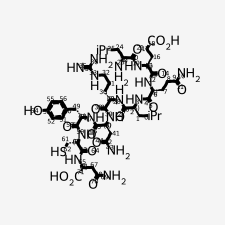 CC(C)C[C@H](NC(=O)[C@H](CCC(N)=O)NC(=O)[C@H](CCC(=O)O)NC(=O)[C@@H](N)CC(C)C)C(=O)N[C@@H](CCCNC(=N)N)C(=O)N[C@@H](CC(N)=O)C(=O)N[C@@H](Cc1ccc(O)cc1)C(=O)N[C@@H](CS)C(=O)N[C@@H](CC(N)=O)C(=O)O